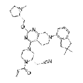 C=CC(=O)N1CCN(c2nc(OC[C@@H]3CCCN3C)nc3c2CCN(c2cccc4c2CC(C)(C)C4)C3)C[C@@H]1CC#N